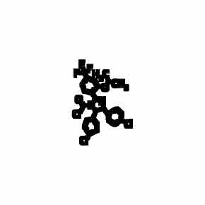 CC(C)Oc1cc(C(F)(F)F)ccc1C1=NC(c2ccc(Cl)cc2)C(c2ccc(Cl)cc2)N1C(=O)Cl